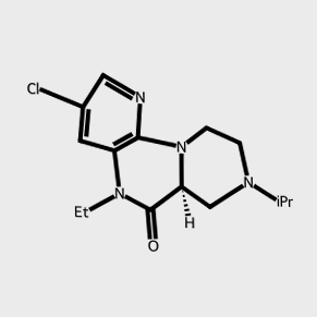 CCN1C(=O)[C@@H]2CN(C(C)C)CCN2c2ncc(Cl)cc21